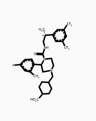 Cc1cc(F)ccc1C1CN(CC2CCC(C(=O)O)CC2)CCN1C(=O)NC[C@H](C)c1cc(C(F)(F)F)cc(C(F)(F)F)c1